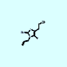 C=CCN1C(C)=C(CCO)SC1Br